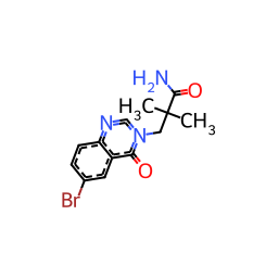 CC(C)(Cn1cnc2ccc(Br)cc2c1=O)C(N)=O